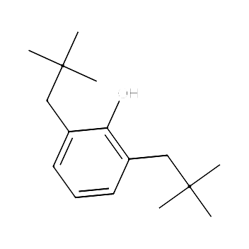 CC(C)(C)Cc1cccc(CC(C)(C)C)c1O